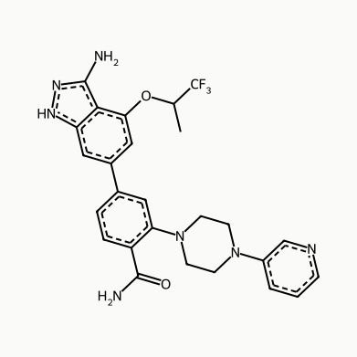 CC(Oc1cc(-c2ccc(C(N)=O)c(N3CCN(c4cccnc4)CC3)c2)cc2[nH]nc(N)c12)C(F)(F)F